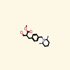 COC(=O)C(C=O)Cc1ccc(CN2[C@H](C)CCC[C@@H]2C)cc1